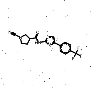 N#CN1CCC(C(=O)Nc2ncc(-c3ccc(C(F)(F)F)cc3)s2)C1